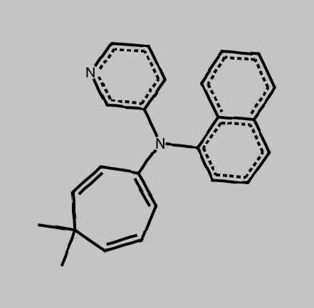 CC1(C)C=CC=C(N(c2cccnc2)c2cccc3ccccc23)C=C1